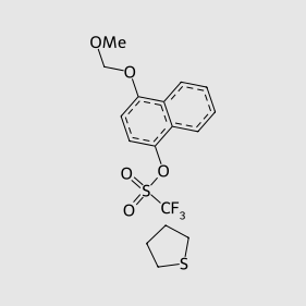 C1CCSC1.COCOc1ccc(OS(=O)(=O)C(F)(F)F)c2ccccc12